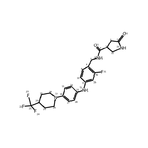 O=C1CC(C(=O)NCc2ccc(Nc3ccc(N4CCC(C(F)(F)F)CC4)cc3)cc2F)CN1